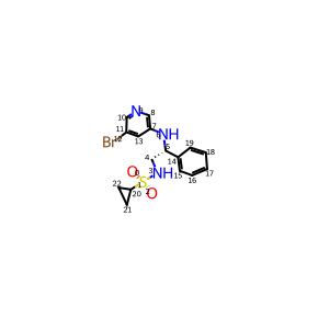 O=S(=O)(NC[C@H](Nc1cncc(Br)c1)c1ccccc1)C1CC1